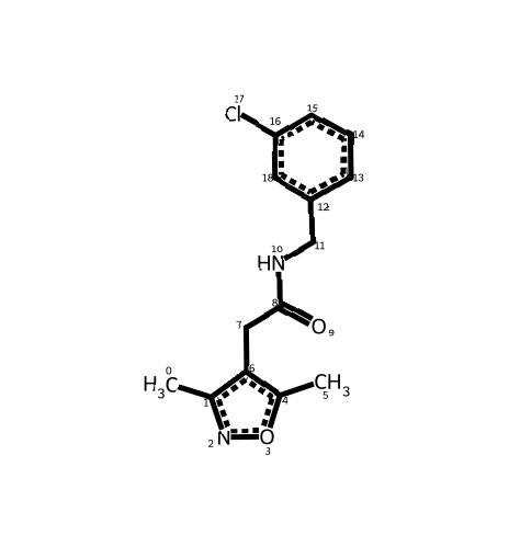 Cc1noc(C)c1CC(=O)NCc1cccc(Cl)c1